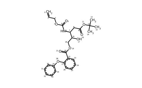 C=CCOC(=O)NC(CC(=O)OC(C)(C)C)C(O)COC(=O)c1ccccc1Oc1ccccc1